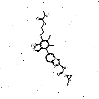 CNC(=O)OCCSc1c(F)c(C)c(-c2ccc3nc(NC(=O)[C@@H]4C[C@@H]4F)cn3c2)c2cn[nH]c12